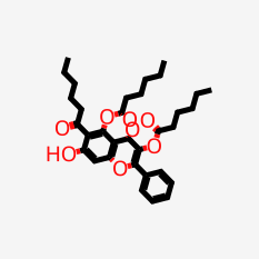 CCCCCC(=O)Oc1c(-c2ccccc2)oc2cc(O)c(C(=O)CCCCC)c(OC(=O)CCCCC)c2c1=O